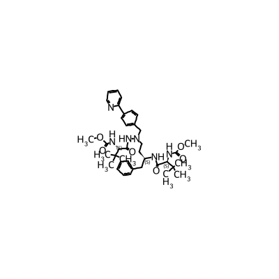 COC(=O)N[C@H](C(=O)N[C@H](CCN(Cc1ccc(-c2ccccn2)cc1)NC(=O)[C@@H](NC(=O)OC)C(C)(C)C)Cc1ccccc1)C(C)(C)C